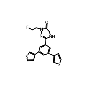 O=C1CNC(c2cc(-c3ccsc3)cc(-c3ccsc3)c2)=NN1CCF